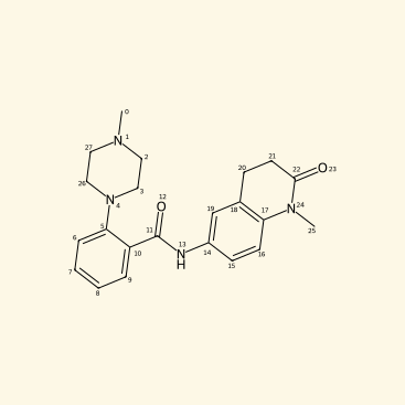 CN1CCN(c2ccccc2C(=O)Nc2ccc3c(c2)CCC(=O)N3C)CC1